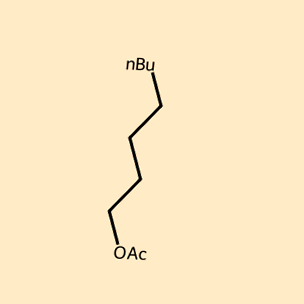 [CH2]CCCCCCCOC(C)=O